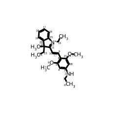 CCNc1cc(OC)c(/C=C/C2=[N+](CC)c3ccccc3C2(C)CC)c(OC)c1